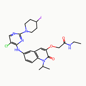 CCNC(=O)COc1cc2cc(Nc3nc(N4CCC(I)CC4)ncc3Cl)ccc2n(C(C)C)c1=O